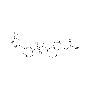 Cc1nnc(-c2cccc(S(=O)(=O)NC3CCCc4c3cnn4CC(=O)O)c2)o1